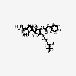 CC(C)(C)C(=O)OCOC[C@H]1O[C@@](C)(c2ccc3c(N)ncnn23)[C@H](O)[C@@H]1OC(=O)Cc1ccccc1